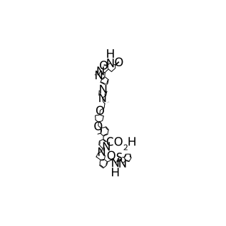 Cc1c(OC2CCC(OC[C@@H](C)CN3CCN(c4ccc5c(C6CCC(=O)NC6=O)nn(C)c5c4)CC3)CC2)cccc1-c1ccc(N2CCc3cccc(C(=O)Nc4nc5ccccc5s4)c3C2)nc1C(=O)O